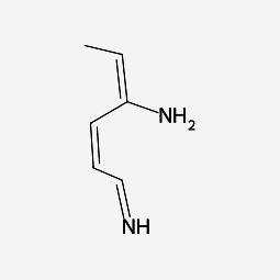 C/C=C(N)\C=C/C=N